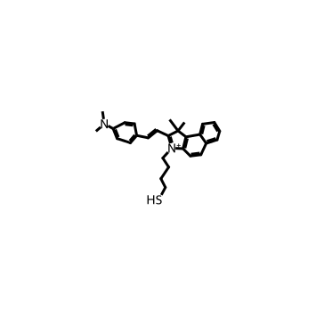 CN(C)c1ccc(/C=C/C2=[N+](CCCCS)c3ccc4ccccc4c3C2(C)C)cc1